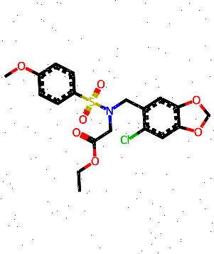 CCOC(=O)CN(Cc1cc2c(cc1Cl)OCO2)S(=O)(=O)c1ccc(OC)cc1